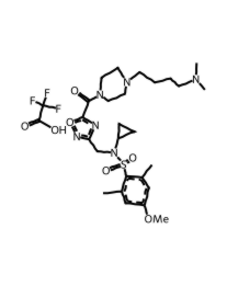 COc1cc(C)c(S(=O)(=O)N(Cc2noc(C(=O)N3CCN(CCCCN(C)C)CC3)n2)C2CC2)c(C)c1.O=C(O)C(F)(F)F